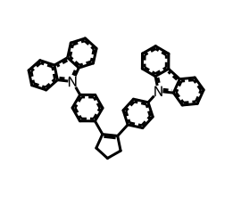 c1ccc2c(c1)c1ccccc1n2-c1ccc(C2=C(c3ccc(-n4c5ccccc5c5ccccc54)cc3)CCC2)cc1